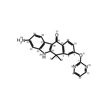 CC1(C)c2cc(Oc3ncccn3)ccc2C(=O)c2c1[nH]c1cc(N)ccc21